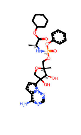 C[C@H](N[P@@](=O)(OC[C@@]1(C)OCC(O)(c2ccc3c(N)ncnn23)[C@@H]1O)Oc1ccccc1)C(=O)OC1CCCCC1